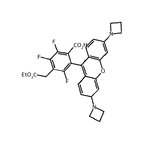 CCOC(=O)Cc1c(F)c(F)c(C(=O)O)c(C2=C3C=CC(N4CCC4)C=C3Oc3cc(N4CCC4)ccc32)c1F